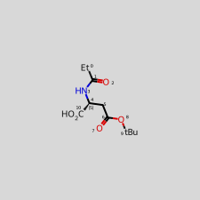 CCC(=O)N[C@@H](CC(=O)OC(C)(C)C)C(=O)O